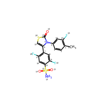 Cc1ccc(-n2c(-c3cc(F)c(S(N)(=O)=O)cc3F)csc2=O)cc1F